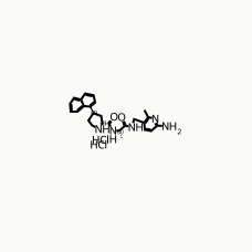 Cc1nc(N)ccc1CNC(=O)[C@H](C)NC(=O)[C@H]1C[C@H](c2cccc3ccccc23)CCN1.Cl.Cl